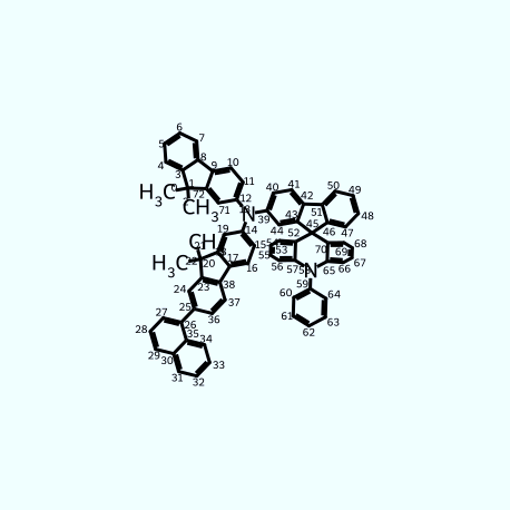 CC1(C)c2ccccc2-c2ccc(N(c3ccc4c(c3)C(C)(C)c3cc(-c5cccc6ccccc56)ccc3-4)c3ccc4c(c3)C3(c5ccccc5-4)c4ccccc4N(c4ccccc4)c4ccccc43)cc21